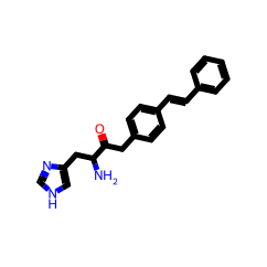 NC(Cc1c[nH]cn1)C(=O)Cc1ccc(/C=C/c2ccccc2)cc1